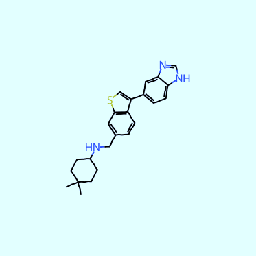 CC1(C)CCC(NCc2ccc3c(-c4ccc5[nH]cnc5c4)csc3c2)CC1